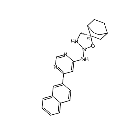 c1ccc2cc(-c3cc(NN4NC[C@]5(CC6CCC5CC6)O4)ncn3)ccc2c1